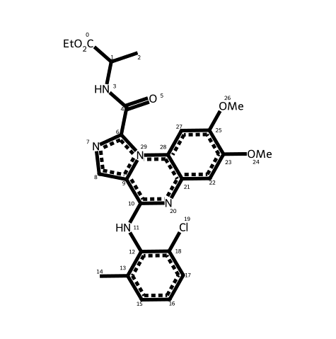 CCOC(=O)C(C)NC(=O)c1ncc2c(Nc3c(C)cccc3Cl)nc3cc(OC)c(OC)cc3n12